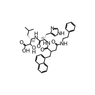 CC(C)C[C@H](NC(=O)[C@H](Cc1c[nH]cn1)NC(=O)C(CC(=O)NCCc1ccccc1)Cc1cccc2ccccc12)C(O)C(=O)O